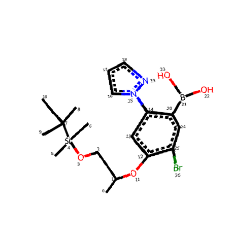 CC(CO[Si](C)(C)C(C)(C)C)Oc1cc(-n2cccn2)c(B(O)O)cc1Br